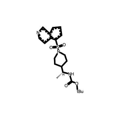 C[C@@H](NC(=O)OC(C)(C)C)C1CCN(S(=O)(=O)c2cccc3cnccc23)CC1